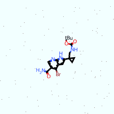 CC(C)(C)OC(=O)NCC1(c2cc3c(Br)c(C(N)=O)cnc3[nH]2)CC1